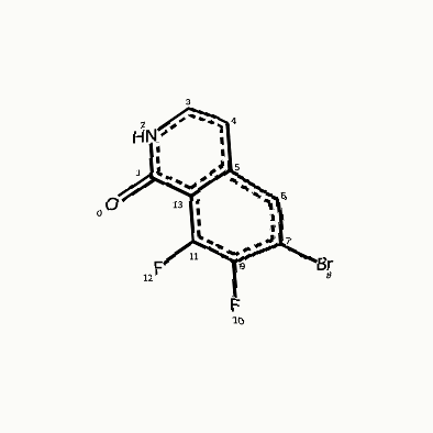 O=c1[nH]ccc2cc(Br)c(F)c(F)c12